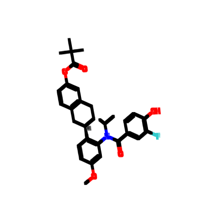 COc1ccc([C@@H]2CCc3cc(OC(=O)C(C)(C)C)ccc3C2)c(N(C(=O)c2ccc(O)c(F)c2)C(C)C)c1